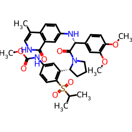 COC(=O)Nc1ccc(S(=O)(=O)C(C)C)c([C@H]2CCCN2C(=O)[C@H](Nc2ccc3c(C)c[nH]c(=O)c3c2)c2ccc(OC)c(OC)c2)c1